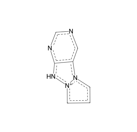 c1cn2c3cncnc3[nH][n+]2c1